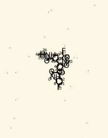 CNC(=O)c1c(-c2ccc(F)cc2)oc2cc(N(CCCF)S(C)(=O)=O)c(-c3cccc(C(=O)NC(C)(C)C(C)(C)C)c3)cc12